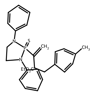 C=C(C(Cc1ccc(C)cc1)C(=O)OCC)P1(=S)N(c2ccccc2)CCN1c1ccccc1